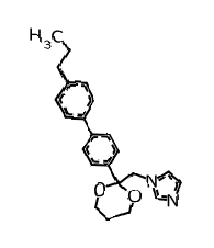 CCCc1ccc(-c2ccc(C3(Cn4ccnc4)OCCCO3)cc2)cc1